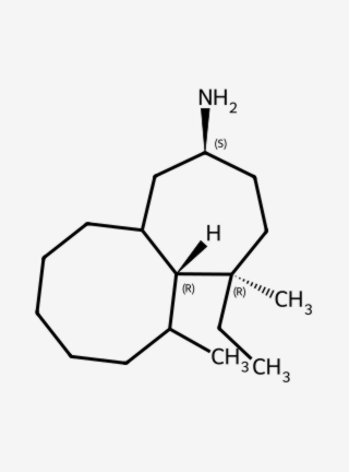 CC[C@]1(C)CC[C@H](N)CC2CCCCCC(C)[C@H]21